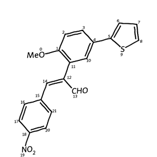 COc1ccc(-c2cccs2)cc1C(C=O)=Cc1ccc([N+](=O)[O-])cc1